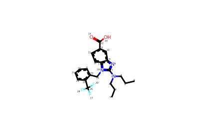 CCCN(CCC)c1nc2cc(C(=O)O)ccc2n1Cc1ccccc1C(F)(F)F